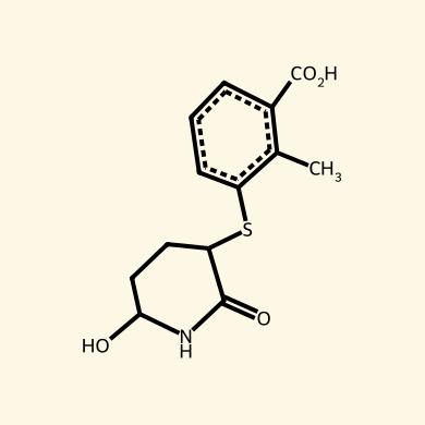 Cc1c(SC2CCC(O)NC2=O)cccc1C(=O)O